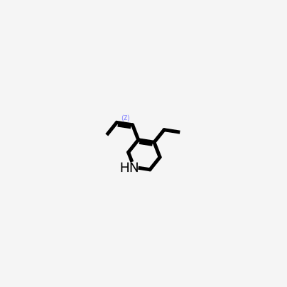 C/C=C\C1=C(CC)CCNC1